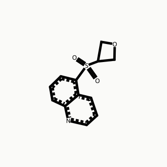 O=S(=O)(c1cccc2ncccc12)C1COC1